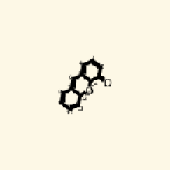 O=C1C=CC=C2C=C3C=CC=CC3OC12